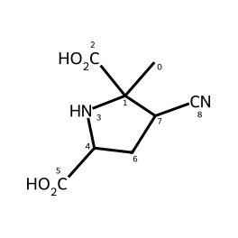 CC1(C(=O)O)NC(C(=O)O)CC1C#N